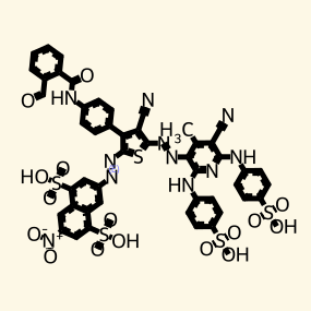 Cc1c(C#N)c(Nc2ccc(S(=O)(=O)O)cc2)nc(Nc2ccc(S(=O)(=O)O)cc2)c1N=Nc1sc(/N=N/c2cc(S(=O)(=O)O)c3cc([N+](=O)[O-])cc(S(=O)(=O)O)c3c2)c(-c2ccc(NC(=O)c3ccccc3C=O)cc2)c1C#N